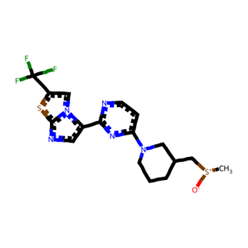 C[S+]([O-])CC1CCCN(c2ccnc(-c3cnc4sc(C(F)(F)F)cn34)n2)C1